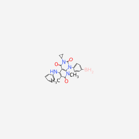 Bc1ccc(-n2c(=O)n(C3CC3)c(=O)c3c(Nc4ccccc4)c(C)c(=O)n(C)c32)cc1